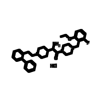 CCOc1cccc(F)c1CN1CCN(C(=O)C(N)C2CCN(CCc3ccccc3-c3ccccc3)CC2)CC1.Cl